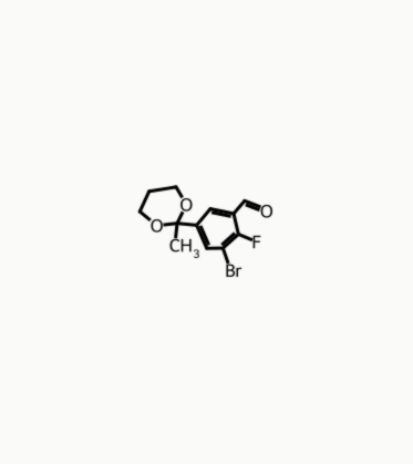 CC1(c2cc(Br)c(F)c(C=O)c2)OCCCO1